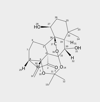 C=C1C(=O)[C@@]23C4CC[C@@H]1[C@H]2OC(C)(C)OC31OC[C@@]42[C@H]([C@@H]1O)C(C)(C)CC[C@@H]2O